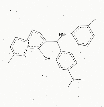 Cc1ccnc(NC(c2ccc(N(C)C)cc2)c2ccc3ccc(C)nc3c2O)c1